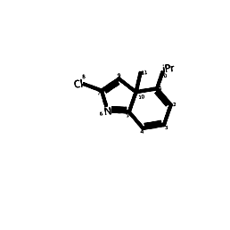 CC(C)C1=CC=CC2=NC(Cl)=CC12C